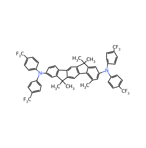 Cc1cc(N(c2ccc(C(F)(F)F)cc2)c2ccc(C(F)(F)F)cc2)cc2c1-c1cc3c(cc1C2(C)C)-c1ccc(N(c2ccc(C(F)(F)F)cc2)c2ccc(C(F)(F)F)cc2)cc1C3(C)C